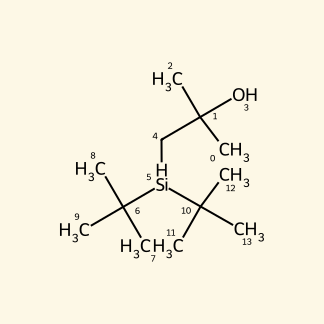 CC(C)(O)C[SiH](C(C)(C)C)C(C)(C)C